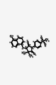 CC1(C)C(=O)N(c2ccc(S(=O)(=O)C(F)(F)F)cc2)C(=O)N1Cc1ccnc2c(Cl)cccc12